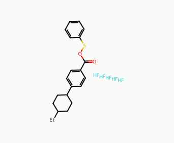 CCC1CCC(c2ccc(C(=O)OSc3ccccc3)cc2)CC1.F.F.F.F.F